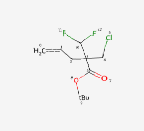 C=CCC(CCl)(C(=O)OC(C)(C)C)C(F)F